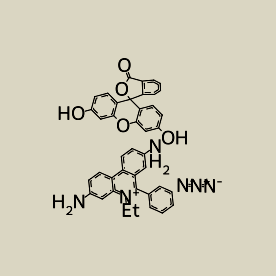 CC[n+]1c(-c2ccccc2)c2cc(N)ccc2c2ccc(N)cc21.O=C1OC2(c3ccc(O)cc3Oc3cc(O)ccc32)c2ccccc21.[N-]=[N+]=[N-]